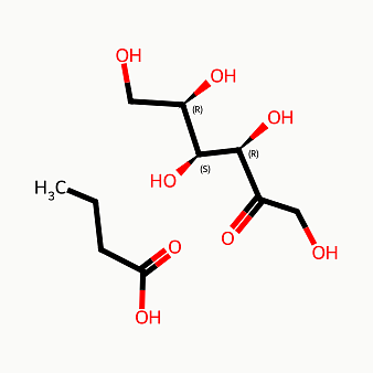 CCCC(=O)O.O=C(CO)[C@H](O)[C@@H](O)[C@H](O)CO